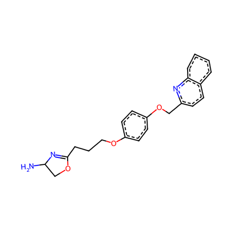 NC1COC(CCCOc2ccc(OCc3ccc4ccccc4n3)cc2)=N1